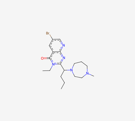 CCCC(c1nc2ncc(Br)cc2c(=O)n1CC)N1CCCN(C)CC1